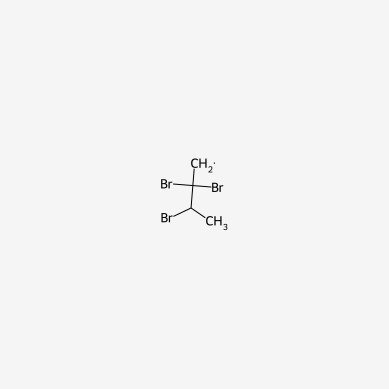 [CH2]C(Br)(Br)C(C)Br